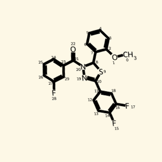 COc1ccccc1C1SC(c2ccc(F)c(F)c2)=NN1C(=O)c1cccc(F)c1